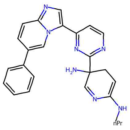 CCCNC1=CCC(N)(c2nccc(-c3cnc4ccc(-c5ccccc5)cn34)n2)C=N1